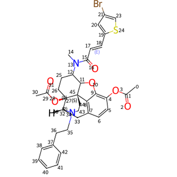 CC(=O)Oc1ccc2c3c1OC1C(N(C)C(=O)/C=C/c4cc(Br)cs4)CC[C@@]4(OC(C)=O)[C@@H](C2)N(CCc2ccccc2)CC[C@]314